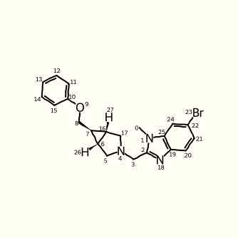 Cn1c(CN2C[C@@H]3[C@@H](COc4ccccc4)[C@@H]3C2)nc2ccc(Br)cc21